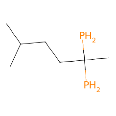 CC(C)CCC(C)(P)P